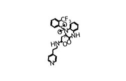 O=C(C[C@@H]1C(=O)Nc2ccccc2N1S(=O)(=O)c1ccccc1C(F)(F)F)NCCc1ccncc1